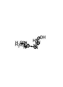 CC(C)(C)OC(=O)n1ncc2cc(C#Cc3ccnc(-c4ccnc(N[C@H]5CC[C@H](O)C5)n4)n3)ccc21